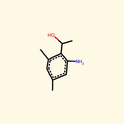 Cc1cc(C)c(C(C)O)c(N)c1